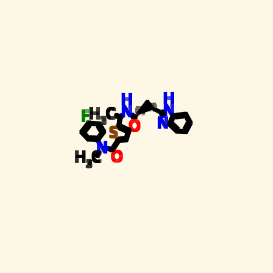 CC(NC(=O)[C@@H]1C[C@H]1c1nc2ccccc2[nH]1)c1ccc(C(=O)N(C)c2ccc(F)cc2)s1